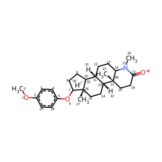 COc1ccc(OC2CC[C@H]3[C@@H]4CCC5N(C)C(=O)CC[C@]5(C)[C@@H]4CC[C@]23C)cc1